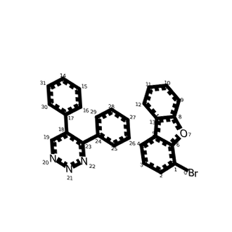 Brc1cccc2c1oc1ccccc12.c1ccc(-c2cnnnc2-c2ccccc2)cc1